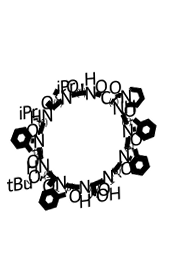 CC(C)C[C@@H]1NC(=O)[C@H](CC(C)C)N(C)C(=O)[C@@H](C)NC(=O)C[C@@H](C(=O)N2CCCCC2)NC(=O)[C@H](Cc2ccccc2)N(C)C(=O)[C@H](Cc2ccccc2)N(C)C(=O)[C@H](C)N(C)C(=O)[C@H]([C@@H](C)O)NC(=O)[C@H](Cc2ccccc2)N(C)C(=O)[C@H](COC(C)(C)C)NC(=O)[C@H](Cc2ccccc2)N(C)C1=O